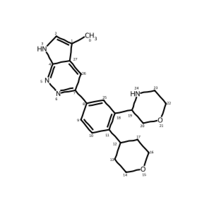 Cc1c[nH]c2nnc(-c3ccc(C4CCOCC4)c(C4COCCN4)c3)cc12